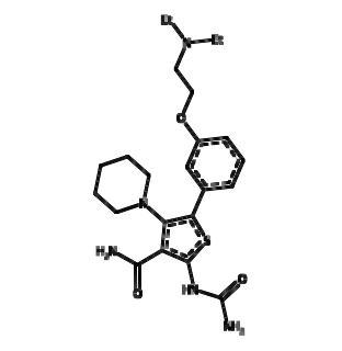 CCN(CC)CCOc1cccc(-c2sc(NC(N)=O)c(C(N)=O)c2N2CCCCC2)c1